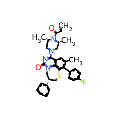 C=CC(=O)N1[C@H](C)CN(c2nc(=O)n3c4c(c(-c5ccc(F)cc5)c(C)cc24)SC[C@H](c2ccccc2)C3)C[C@@H]1C